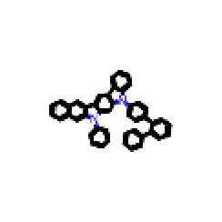 c1ccc(-c2ccccc2-c2ccc(-n3c4ccccc4c4cc5c6cc7ccccc7cc6n(-c6ccccc6)c5cc43)cc2)cc1